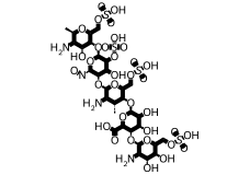 C[C@@H]1C(N)[C@@H](O[C@H]2C(O)C(OS(=O)(=O)O)[C@H](O[C@@H]3C(COS(=O)(=O)O)O[C@H](C)C(N)[C@H]3O)O[C@H]2N=O)OC(COS(=O)(=O)O)[C@H]1O[C@@H]1OC(C(=O)O)[C@@H](O[C@H]2OC(COS(=O)(=O)O)[C@@H](O)[C@H](O)C2N)[C@H](O)C1O